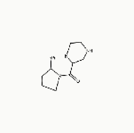 CCCC1CCCN1C(=O)C1CNCC[N]1